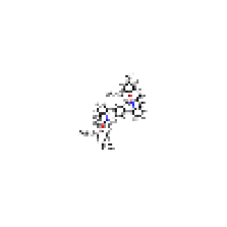 COC1=CC([N+](=O)[O-])=CC2C=CC3(OC12)N(Cc1ccc(CN2c4ccccc4C(C)(C)C24C=Cc2cc([N+](=O)[O-])cc(OC)c2O4)cc1)c1ccccc1C3(C)C